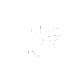 CCC(CNC)c1ccc(-c2c(O)cc(C)c3[nH]c(=O)c4sccc4c23)cc1.Cl